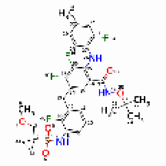 COCC1(S(=O)(=O)Nc2cccc(Cc3cc(C(=O)NOC(C)(C)C)c(Nc4ccc(C)cc4F)c(F)c3F)c2F)CC1